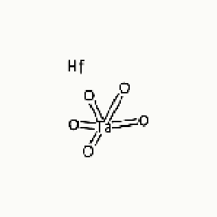 [Hf].[O]=[Ta](=[O])(=[O])(=[O])=[O]